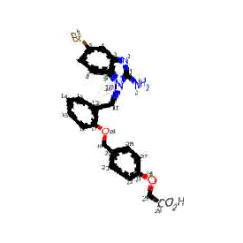 Nc1nc2cc(Br)ccc2n1Cc1ccccc1OCc1ccc(OCC(=O)O)cc1